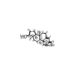 CC(C)(C)OOC12C=CC(=O)C=C1CC[C@@H]1[C@@H]2CC[C@]2(C)C(O)CC[C@@H]12